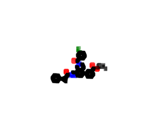 COC(=O)c1cccc(-c2ccc(CNC(=O)C3CC3c3ccccc3)c3c2CCN(C(=O)c2cccc(F)c2)C3)c1